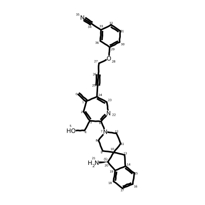 C=C1C=C(CO)C(N2CCC3(CC2)Cc2ccccc2[C@H]3N)=NC=C1C#CCOc1cccc(C#N)c1